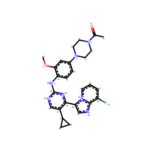 COc1cc(N2CCN(C(C)=O)CC2)ccc1Nc1ncc(C2CC2)c(-c2cnc3c(F)cccn23)n1